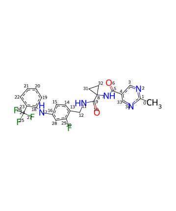 Cc1ncc(C(=O)NC2(C(=O)NCc3ccc(Nc4ccccc4C(F)(F)F)cc3F)CC2)cn1